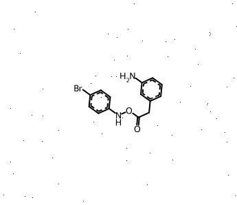 Nc1cccc(CC(=O)ONc2ccc(Br)cc2)c1